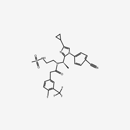 C[C@H](c1nc(C2CC2)cn1-c1ccc(C#N)cc1)N(CCNS(C)(=O)=O)C(=O)Cc1ccc(F)c(C(F)(F)F)c1